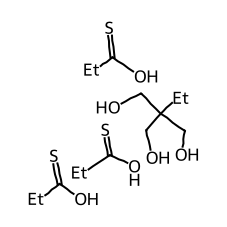 CCC(CO)(CO)CO.CCC(O)=S.CCC(O)=S.CCC(O)=S